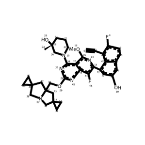 C#Cc1c(F)ccc2cc(O)cc(-c3nc(OC)c4c(N5CCC[C@@](C)(O)C5)nc(OCC56CC7(CC7)CN5CC5(CC5)C6)nc4c3F)c12